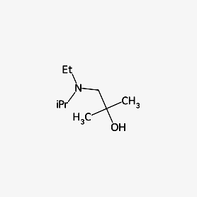 CCN(CC(C)(C)O)C(C)C